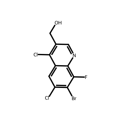 OCc1cnc2c(F)c(Br)c(Cl)cc2c1Cl